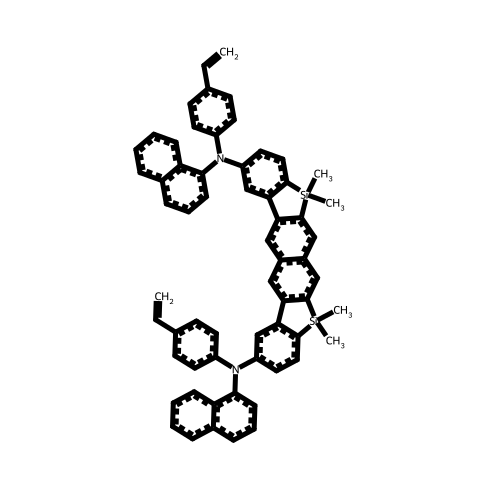 C=Cc1ccc(N(c2ccc3c(c2)-c2cc4cc5c(cc4cc2[Si]3(C)C)[Si](C)(C)c2ccc(N(c3ccc(C=C)cc3)c3cccc4ccccc34)cc2-5)c2cccc3ccccc23)cc1